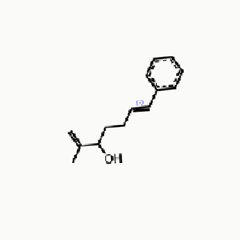 C=C(C)C(O)CC/C=C/c1ccccc1